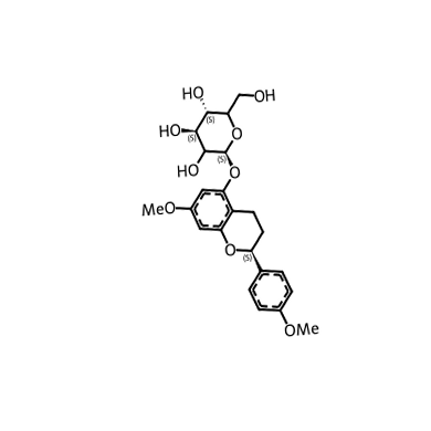 COc1ccc([C@@H]2CCc3c(O[C@@H]4OC(CO)[C@@H](O)[C@H](O)C4O)cc(OC)cc3O2)cc1